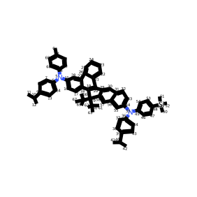 Cc1ccc(N(c2ccc(C(C)C)cc2)c2ccc3c4c(c5ccccc5c3c2)-c2cc3ccc(N(c5ccc(C(C)C)cc5)c5ccc([Si](C)(C)C)cc5)cc3cc2C4(C(C)(C)C)C(C)(C)C)cc1